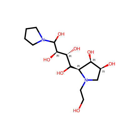 OCCN1C[C@H](O)[C@H](O)[C@@H]1C(O)[C@@H](O)[C@@H](O)C(O)N1CCCC1